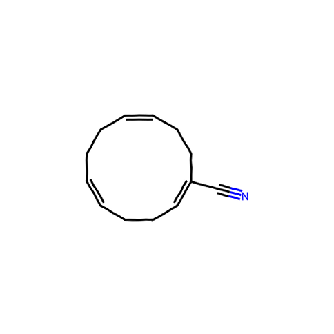 N#CC1=CCCC=CCCC=CCC1